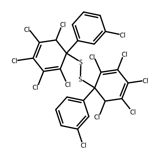 ClC1=C(Cl)C(Cl)C(SSC2(c3cccc(Cl)c3)C(Cl)=C(Cl)C(Cl)=C(Cl)C2Cl)(c2cccc(Cl)c2)C(Cl)=C1Cl